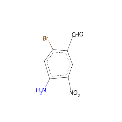 Nc1cc(Br)c(C=O)cc1[N+](=O)[O-]